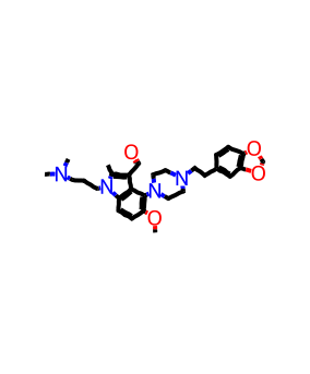 COc1ccc2c(c(C=O)c(C)n2CCCN(C)C)c1N1CCN(CCc2ccc3c(c2)OCO3)CC1